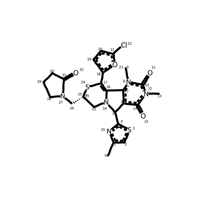 Cc1csc(C2c3c(n(C)c(=O)n(C)c3=O)C3=C(c4ccc(Cl)o4)S[C@@H](CN4CCCC4=O)CN32)n1